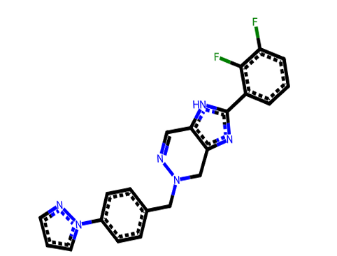 Fc1cccc(-c2nc3c([nH]2)C=NN(Cc2ccc(-n4cccn4)cc2)C3)c1F